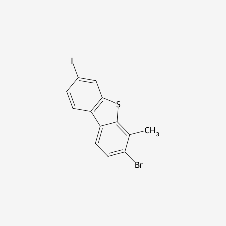 Cc1c(Br)ccc2c1sc1cc(I)ccc12